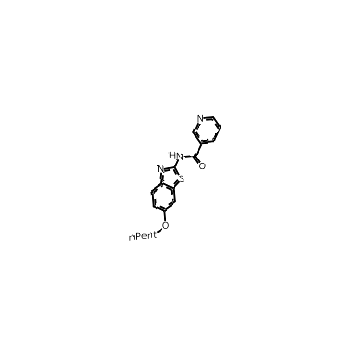 CCCCCOc1ccc2nc(NC(=O)c3cccnc3)sc2c1